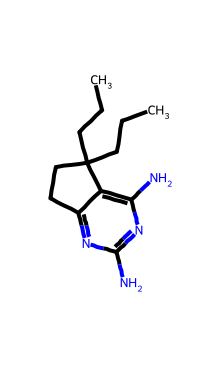 CCCC1(CCC)CCc2nc(N)nc(N)c21